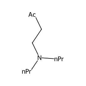 CCCN(CCC)CCC(C)=O